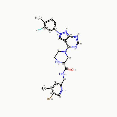 Cc1ccc(-n2cc3c(N4CCN[C@H](C(=O)NCc5cc(C)c(Br)cn5)C4)ncnc3n2)cc1F